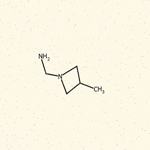 CC1CN(CN)C1